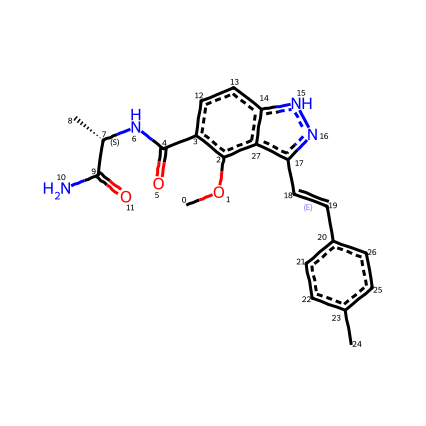 COc1c(C(=O)N[C@@H](C)C(N)=O)ccc2[nH]nc(/C=C/c3ccc(C)cc3)c12